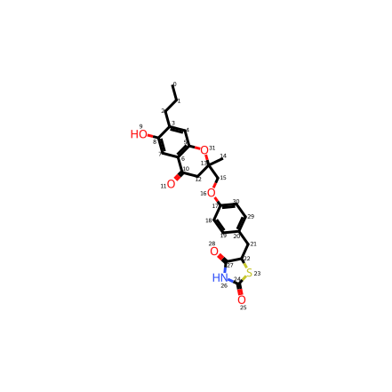 CCCc1cc2c(cc1O)C(=O)CC(C)(COc1ccc(CC3SC(=O)NC3=O)cc1)O2